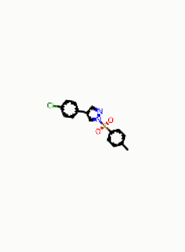 Cc1ccc(S(=O)(=O)n2cc(-c3ccc(Cl)cc3)cn2)cc1